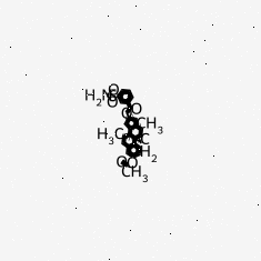 C=C[C@]12CC[C@]3(C)C[C@H](OC(=O)c4cccc(S(N)(=O)=O)c4)CC3C1[C@H](C)Cc1cc(OC(C)=O)ccc12